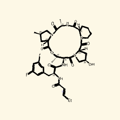 CC/C=C/C(=O)N[C@@H](Cc1cc(F)cc(F)c1)C(=O)N[C@@H]1C(=O)N2C[C@H](O)C[C@H]2C(=O)N2CCCC[C@H]2C(=O)N[C@@H](C)C(=O)N2C[C@H](C)C[C@H]2C(=O)O[C@H]1C